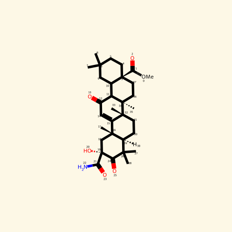 COC(=O)[C@]12CCC(C)(C)CC1C1C(=O)C=C3[C@@]4(C)C[C@](O)(C(N)=O)C(=O)C(C)(C)[C@@H]4CC[C@@]3(C)[C@]1(C)CC2